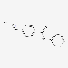 CCC/C=C/c1ccc(C(=O)Nc2ccncc2)cc1